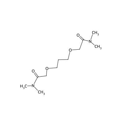 CN(C)C(=O)COCCCOCC(=O)N(C)C